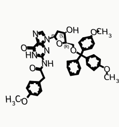 COc1ccc(CC(=O)Nc2nc3c(ncn3[C@H]3C[C@H](O)[C@@H](COC(c4ccccc4)(c4ccc(OC)cc4)c4ccc(OC)cc4)O3)c(=O)[nH]2)cc1